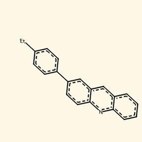 CCc1ccc(-c2ccc3nc4ccccc4cc3c2)cc1